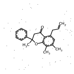 C=CCc1cc(C)c(C)c2c1C(=O)CC(C)(c1ccccc1)O2